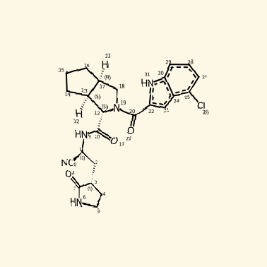 N#C[C@H](C[C@@H]1CCNC1=O)NC(=O)[C@@H]1[C@H]2CCC[C@H]2CN1C(=O)c1cc2c(Cl)cccc2[nH]1